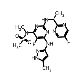 Cc1cc(Nc2nc(N[C@@H](C)c3ncc(F)cn3)nc(N(C)S(C)(=O)=O)c2F)n[nH]1